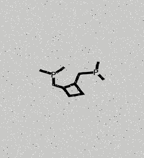 CP(C)CC1CCC1CP(C)C